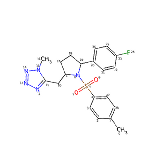 Cc1ccc(S(=O)(=O)N2C(Cc3nnnn3C)CCC2c2ccc(F)cc2)cc1